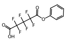 O=C(O)C(F)(F)C(F)(F)C(F)(F)C(=O)Oc1ccccc1